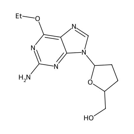 CCOc1nc(N)nc2c1ncn2C1CCC(CO)O1